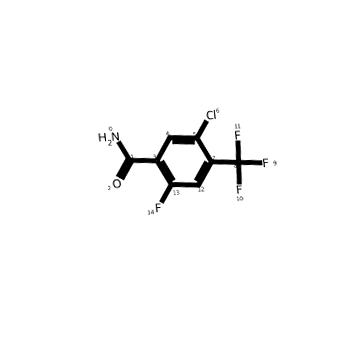 NC(=O)c1cc(Cl)c(C(F)(F)F)cc1F